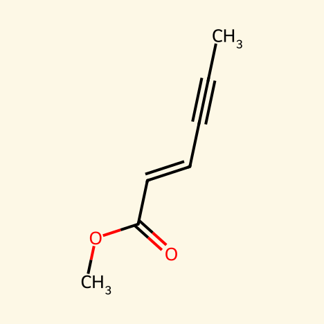 CC#C/C=C/C(=O)OC